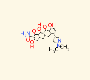 CN(C)c1ccc(-c2ccc(O)c3c2CC2CC4CC(O)=C(C(N)=O)C(=O)C4C(O)=C2C3=O)cn1